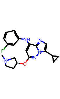 CN1CC[C@H](Oc2cc(Nc3cccc(F)c3)c3ncc(C4CC4)n3n2)C1